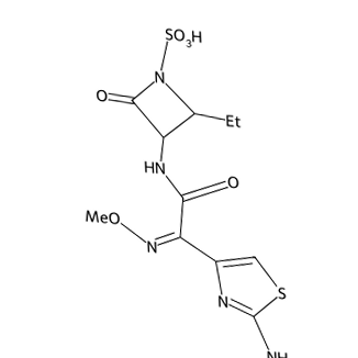 CCC1C(NC(=O)C(=NOC)c2csc(N)n2)C(=O)N1S(=O)(=O)O